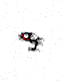 COc1cc2cc(c1Cl)N(C)C(=O)C[C@H](OC(=O)Nc1cc(F)c(NC(=O)[C@H](CCCNC(N)=O)NC(=O)[C@@H](NC(=O)CCCCC(C)OC(=O)C(CBr)CBr)C(C)C)cc1F)[C@]1(C)O[C@H]1[C@H](C)[C@@H]1C[C@@](O)(NC(=O)O1)[C@H](OC)/C=C/C=C(\C)C2